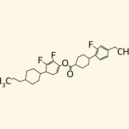 CCCC1CCC(C2CC=C(OC(=O)C3CCC(c4ccc(CC)cc4F)CC3)C(F)=C2F)CC1